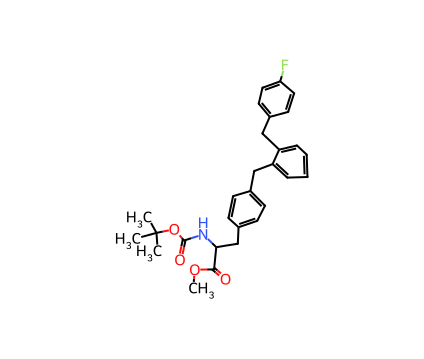 COC(=O)C(Cc1ccc(Cc2ccccc2Cc2ccc(F)cc2)cc1)NC(=O)OC(C)(C)C